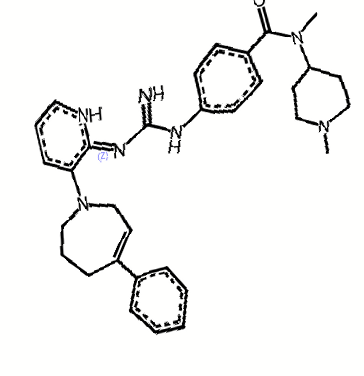 CN1CCC(N(C)C(=O)c2ccc(NC(=N)/N=c3\[nH]cccc3N3CC=C(c4ccccc4)CCC3)cc2)CC1